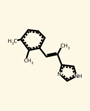 C/C(=C\c1cccc(C)c1C)c1c[nH]cn1